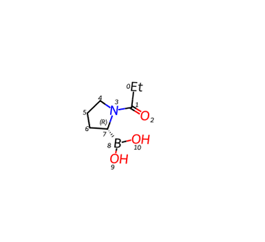 CCC(=O)N1CCC[C@H]1B(O)O